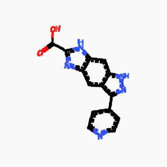 O=C(O)c1nc2cc3c(-c4ccncc4)n[nH]c3cc2[nH]1